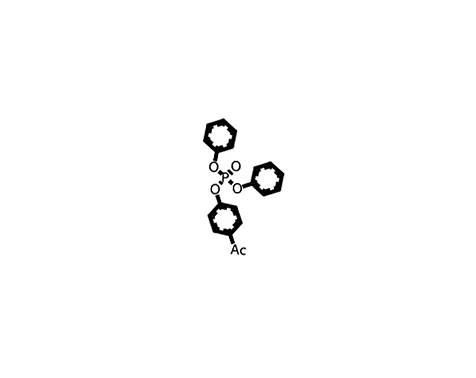 CC(=O)c1ccc(OP(=O)(Oc2ccccc2)Oc2ccccc2)cc1